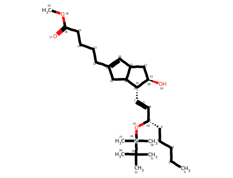 CCCCC[C@@H](/C=C/[C@@H]1C2CC(CCCCC(=O)OC)=CC2C[C@H]1O)O[Si](C)(C)C(C)(C)C